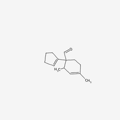 CC1=CC(C)C(C=O)(C2=CCCC2)CC1